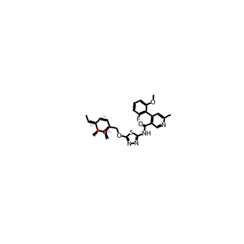 C\C=C(/C=C\C(COc1nnc(NC(=O)c2cnc(C)cc2-c2c(F)cccc2OC)s1)=C(\C)CC)C(C)OC